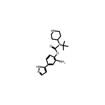 CC(C)(C)N(C(=O)Oc1ccc(-c2ccn[nH]2)cc1N)C1CCNCC1